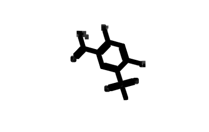 CS(=O)(=O)c1cc(C(N)=O)c(Br)cc1Cl